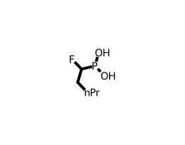 CCCCC(F)P(O)O